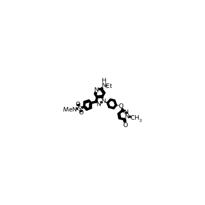 CCNc1cc2c(cn1)c(-c1ccc(S(=O)(=O)NC)cc1)nn2[C@H]1CC[C@@H](Oc2ccc(=O)n(C)n2)CC1